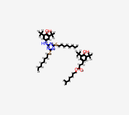 CC(C)CCCCCOC(=O)CCc1cc(C(C)(C)C)c(O)c(C(C)(C)C)c1.CCCCCCCCSc1nc(Nc2cc(C(C)(C)C)c(O)c(C(C)(C)C)c2)nc(SCCCCCCCC)n1